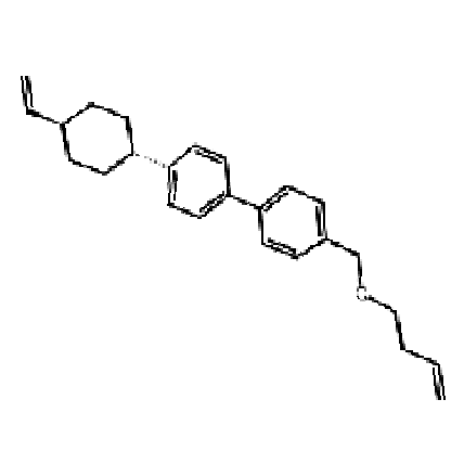 C=CCCOCc1ccc(-c2ccc([C@H]3CC[C@H](C=C)CC3)cc2)cc1